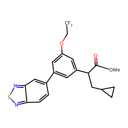 COC(=O)C(CC1CC1)c1cc(OCC(F)(F)F)cc(-c2ccc3nsnc3c2)c1